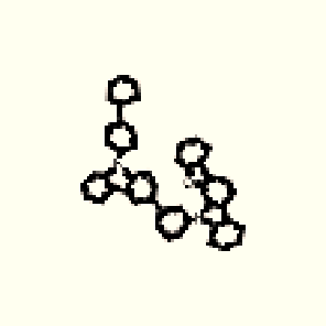 c1ccc(-c2ccc(-n3c4ccccc4c4cc(-c5cccc(-n6c7ccccc7c7ccc8c9ccccc9oc8c76)c5)ccc43)cc2)cc1